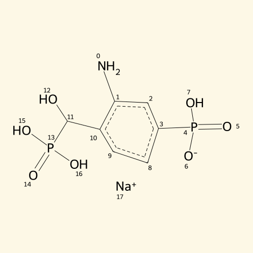 Nc1cc(P(=O)([O-])O)ccc1C(O)P(=O)(O)O.[Na+]